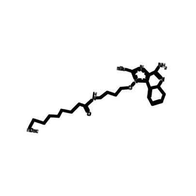 CCCCCCCCCCCCCCCCCC(=O)NCCCCOn1c(CCCC)nc2c1C1=CC=CCC1N=C2N